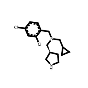 Clc1ccc(CN(CC2CC2)C[C@H]2CCNC2)c(Cl)c1